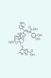 Cc1cc(SCC2=C(OC(=O)O)N3C(=O)[C@@H](NC(=O)/C(=N\O[C@H](C(=O)O)c4ccc(O)c(O)c4)c4csc(N)n4)[C@H]3SC2)n2nc(C(=O)O)nc2n1